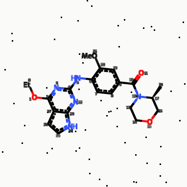 CCOc1nc(Nc2ccc(C(=O)N3CCOC[C@@H]3C)cc2OC)nc2[nH]ccc12